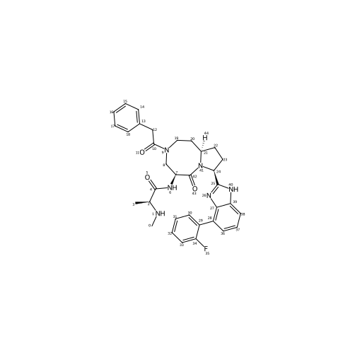 CN[C@@H](C)C(=O)N[C@H]1CN(C(=O)Cc2ccccc2)CC[C@H]2CC[C@@H](c3nc4c(-c5ccccc5F)cccc4[nH]3)N2C1=O